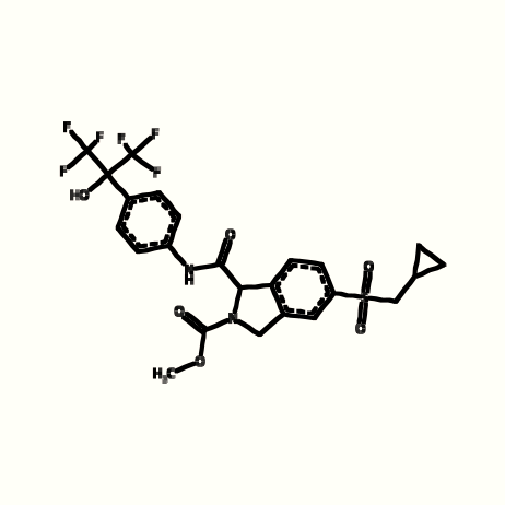 COC(=O)N1Cc2cc(S(=O)(=O)CC3CC3)ccc2C1C(=O)Nc1ccc(C(O)(C(F)(F)F)C(F)(F)F)cc1